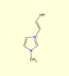 CCC/C=C/[n+]1ccn(C)c1